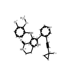 COc1c(Cl)cccc1Nc1c(-c2ccncc2C#CC2(F)CC2)[nH]c2c1C(=O)NCC2